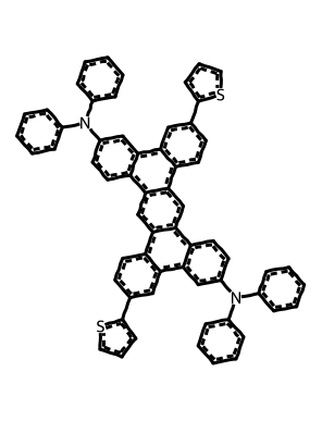 c1ccc(N(c2ccccc2)c2ccc3c(c2)c2cc(-c4cccs4)ccc2c2cc4c5ccc(N(c6ccccc6)c6ccccc6)cc5c5cc(-c6cccs6)ccc5c4cc32)cc1